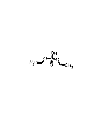 C=COP(=O)(O)OC=C